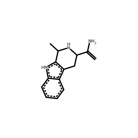 C=C(N)C1Cc2c([nH]c3ccccc23)C(C)N1